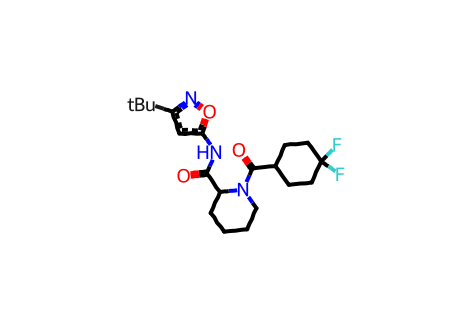 CC(C)(C)c1cc(NC(=O)C2CCCCN2C(=O)C2CCC(F)(F)CC2)on1